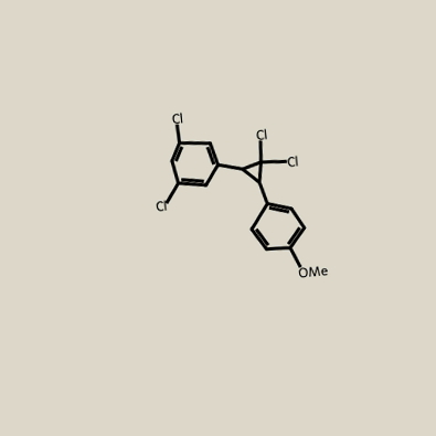 COc1ccc(C2C(c3cc(Cl)cc(Cl)c3)C2(Cl)Cl)cc1